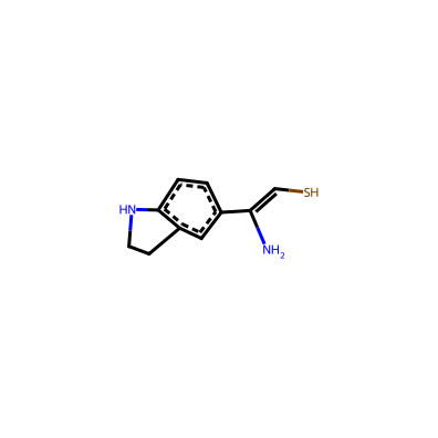 N/C(=C\S)c1ccc2c(c1)CCN2